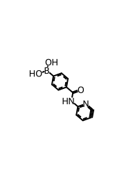 O=C(Nc1ccc#cn1)c1ccc(B(O)O)cc1